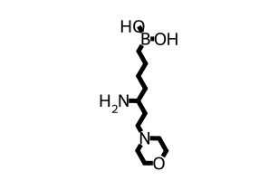 NC(CCCCB(O)O)CCN1CCOCC1